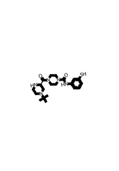 CC(C)(C)N1CCN[C@@H](C(=O)N2CCN(C(=O)Nc3cccc(S)c3)CC2)C1